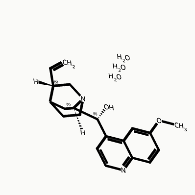 C=C[C@@H]1CN2CCC1C[C@@H]2[C@H](O)c1ccnc2ccc(OC)cc12.O.O.O